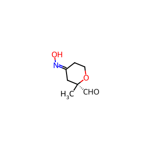 C[C@@]1(C=O)CC(=NO)CCO1